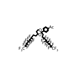 CC(=O)c1ccc(C2(CCC(F)(F)C(F)(F)C(F)(F)C(F)(F)C(F)(F)C(F)(F)F)OCCC(CCC(F)(F)C(F)(F)C(F)(F)C(F)(F)C(F)(F)C(F)(F)F)O2)cc1